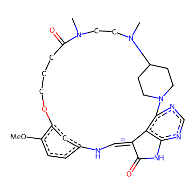 COc1ccc2cc1OCCCC(=O)N(C)CCN(C)C1CCN(CC1)c1ncnc3c1/C(=C/N2)C(=O)N3